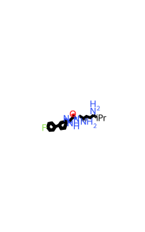 CC(C)C(N)CC[C@H](N)CNC(=O)c1nc2cc(-c3ccc(F)cc3)ccc2[nH]1